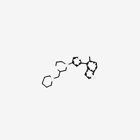 Fc1ccc2[nH]ccc2c1-c1cc(N2CCOC(CN3CCCCC3)C2)cs1